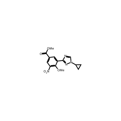 COC(=O)c1cc(-c2ncn(C3CC3)n2)c(OC)c([N+](=O)[O-])c1